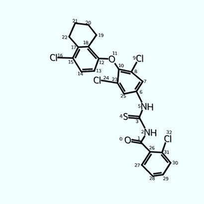 O=C(NC(=S)Nc1cc(Cl)c(Oc2ccc(Cl)c3c2CCCC3)c(Cl)c1)c1ccccc1Cl